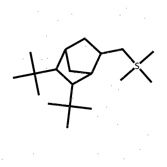 CC(C)(C)C1C2CC(CS(C)(C)C)C(C2)C1C(C)(C)C